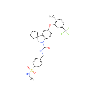 CNS(=O)(=O)c1ccc(CNC(=O)N2CC3(CCCC3)c3cc(Oc4cc(C(F)(F)F)ccc4C)ccc32)cc1